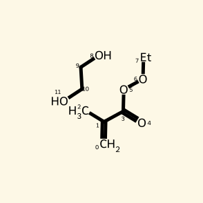 C=C(C)C(=O)OOCC.OCCO